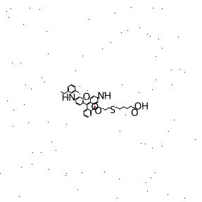 CCc1cccc(C)c1Nc1ccc2c(-c3ccccc3C(=O)OCCCSCCCCCC(=O)O)c3ccc(=N)cc-3oc2c1